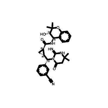 CC1(C)CC(=O)N([C@H](c2cccc(C#N)c2)[C@@H]2C[C@H]2C(=O)N[C@@H]2c3ccccc3OC(C)(C)[C@H]2O)C(=N)N1